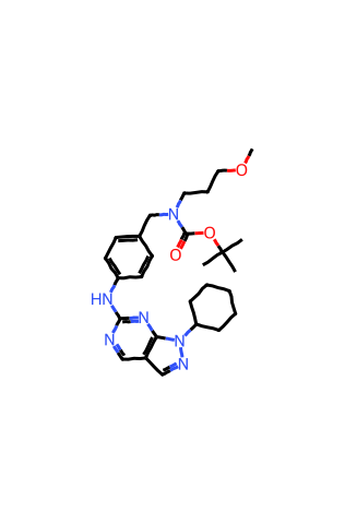 COCCCN(Cc1ccc(Nc2ncc3cnn(C4CCCCC4)c3n2)cc1)C(=O)OC(C)(C)C